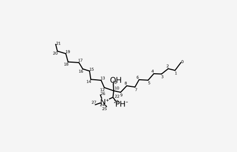 CCCCCCCCCCC(O)(CCCCCCCCCC)C([PH-])[N+](C)(C)C